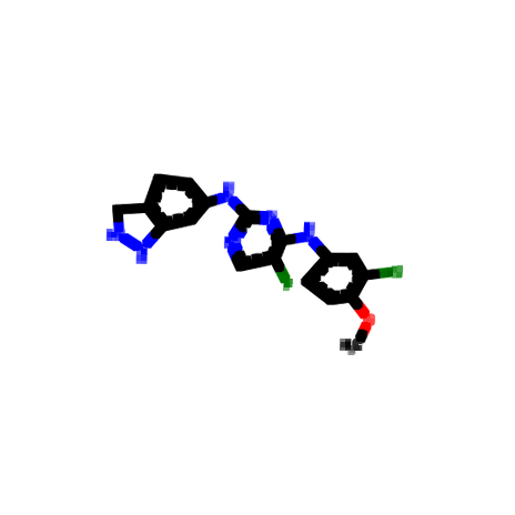 COc1ccc(Nc2nc(Nc3ccc4c(c3)NNC4)ncc2F)cc1Cl